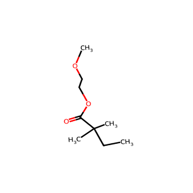 CCC(C)(C)C(=O)OCCOC